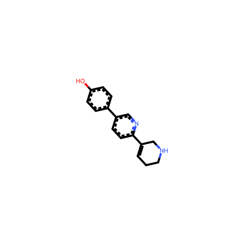 Oc1ccc(-c2ccc(C3=CCCNC3)nc2)cc1